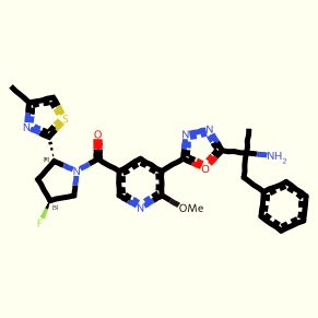 COc1ncc(C(=O)N2C[C@@H](F)C[C@@H]2c2nc(C)cs2)cc1-c1nnc(C(C)(N)Cc2ccccc2)o1